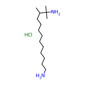 CC(CCCCCCCCCCN)C(C)(C)N.Cl